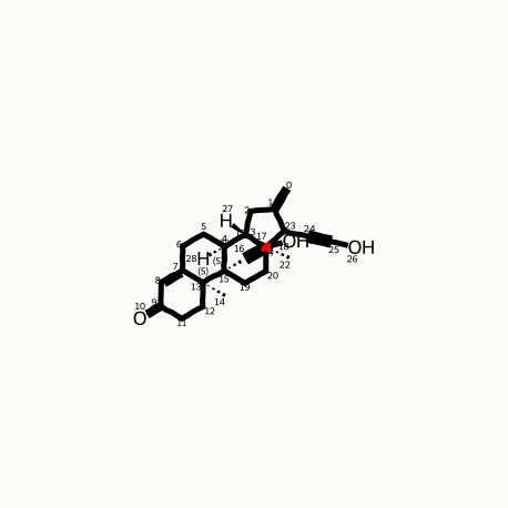 C=C1C[C@H]2[C@@H]3CCC4=CC(=O)CC[C@]4(C)[C@]3(C#CO)CC[C@]2(C)C1C#CO